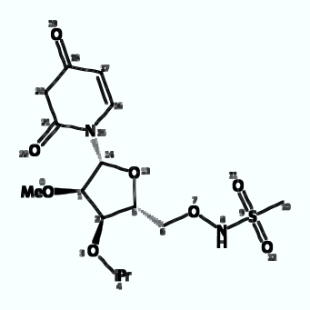 CO[C@@H]1[C@H](OC(C)C)[C@@H](CONS(C)(=O)=O)O[C@H]1N1C=CC(=O)CC1=O